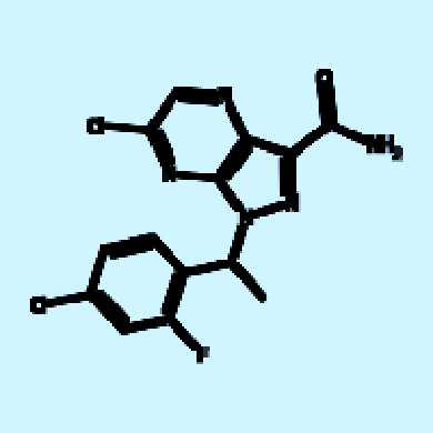 CC(c1ccc(Cl)cc1F)n1nc(C(N)=O)c2ncc(Cl)nc21